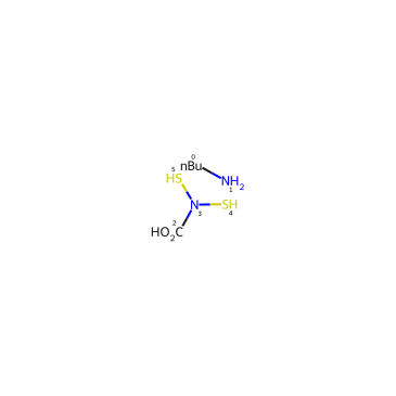 CCCCN.O=C(O)N(S)S